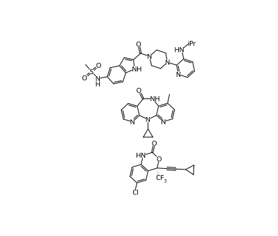 CC(C)Nc1cccnc1N1CCN(C(=O)c2cc3cc(NS(C)(=O)=O)ccc3[nH]2)CC1.Cc1ccnc2c1NC(=O)c1cccnc1N2C1CC1.O=C1Nc2ccc(Cl)cc2[C@@](C#CC2CC2)(C(F)(F)F)O1